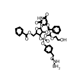 BNOCc1ccc(OP(=O)(OC(C)OCCO)OC2C(COC(=O)c3ccccc3)OC(n3ccc(=O)[nH]c3=O)C2OC(=O)c2ccccc2)cc1